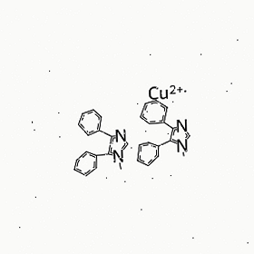 Cn1cnc(-c2ccccc2)c1-c1ccccc1.Cn1cnc(-c2ccccc2)c1-c1ccccc1.[Cu+2]